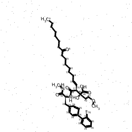 CCCCCCCC(=O)CCCCCCC=C[C@H](C(=O)N[C@@H](Cc1ccc(-c2ccccc2F)cc1)C(=O)NC)[C@@](O)(CCOC)C(=O)O